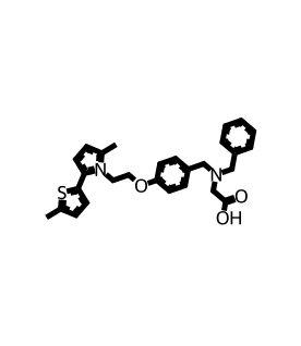 Cc1ccc(-c2ccc(C)n2CCOc2ccc(CN(CC(=O)O)Cc3ccccc3)cc2)s1